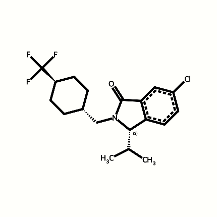 CC(C)[C@H]1c2ccc(Cl)cc2C(=O)N1C[C@H]1CC[C@H](C(F)(F)F)CC1